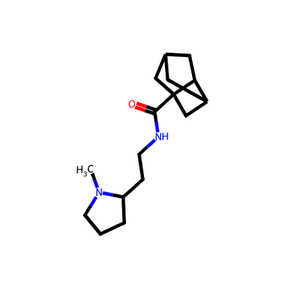 CN1CCCC1CCNC(=O)C12CC3CC(C1)C2C3